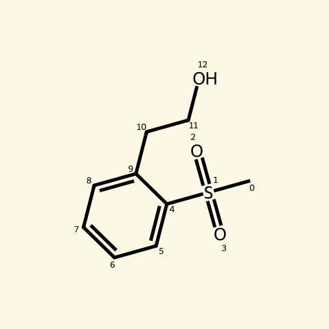 CS(=O)(=O)c1ccccc1CCO